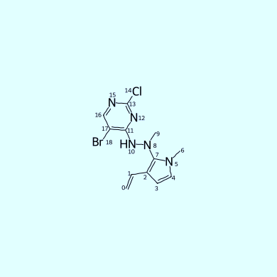 C=Cc1ccn(C)c1N(C)Nc1nc(Cl)ncc1Br